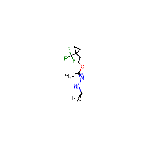 C=CN/N=C(\C)OCCC1(C(F)(F)F)CC1